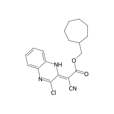 N#CC(C(=O)OCC1CCCCCC1)=C1Nc2ccccc2N=C1Cl